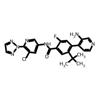 CC(C)(C)c1cc(C(=O)Nc2cnc(-n3nccn3)c(Cl)c2)c(F)cc1-c1ccncc1N